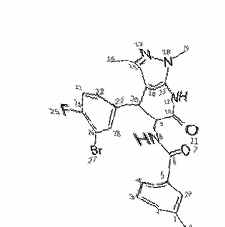 Cc1cccc(C(=O)NC2C(=O)Nc3c(c(C)nn3C)C2c2ccc(F)c(Br)c2)c1